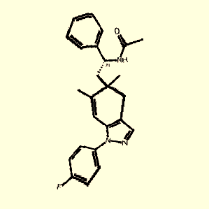 CC(=O)N[C@H](CC1(C)Cc2cnn(-c3ccc(F)cc3)c2C=C1C)c1ccccc1